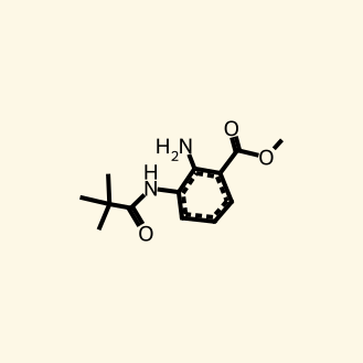 COC(=O)c1cccc(NC(=O)C(C)(C)C)c1N